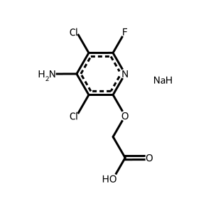 Nc1c(Cl)c(F)nc(OCC(=O)O)c1Cl.[NaH]